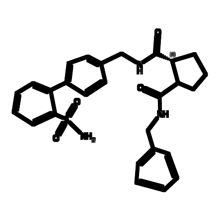 NS(=O)(=O)c1ccccc1-c1ccc(CNC(=O)[C@@H]2CCCC2C(=O)NCc2ccccc2)cc1